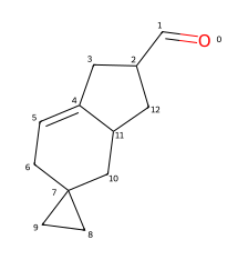 O=CC1CC2=CCC3(CC3)CC2C1